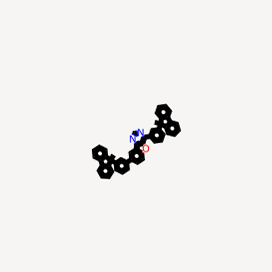 CC1(c2cccc(-c3ccc4oc5c(-c6cccc(C7(C)c8ccccc8-c8ccccc87)c6)ncnc5c4c3)c2)c2ccccc2-c2ccccc21